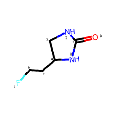 O=C1NCC(CCF)N1